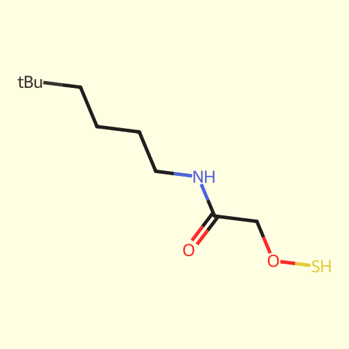 CC(C)(C)CCCCNC(=O)COS